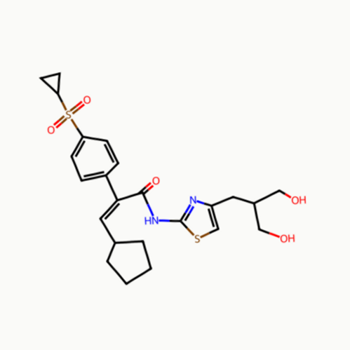 O=C(Nc1nc(CC(CO)CO)cs1)C(=CC1CCCC1)c1ccc(S(=O)(=O)C2CC2)cc1